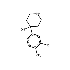 O=NC1(c2ccc(C(F)(F)F)c(Cl)c2)CCNCC1